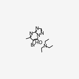 CCN(CC)CC.Cc1nc2ncnn2c(O)c1Br